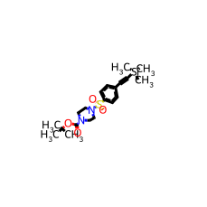 CC(C)(C)OC(=O)N1CCN(S(=O)(=O)c2ccc(C#C[Si](C)(C)C)cc2)CC1